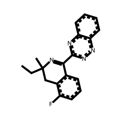 CCC1(C)Cc2c(F)cccc2C(c2nnc3ccccc3n2)=N1